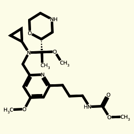 COC(=O)NCCCc1cc(OC)cc(CN(C2CC2)C(C)(OC)[C@H]2CNCCO2)n1